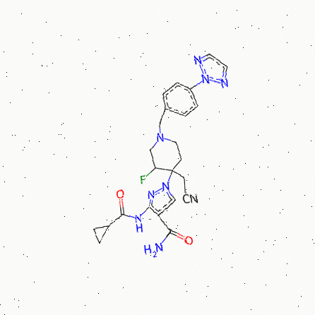 N#CCC1(n2cc(C(N)=O)c(NC(=O)C3CC3)n2)CCN(Cc2ccc(-n3nccn3)cc2)CC1F